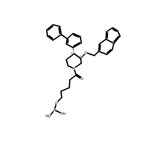 O=C(CCCCON(O)O)N1CC[C@H](c2cccc(-c3ccccc3)c2)[C@@H](OCc2ccc3ccccc3c2)C1